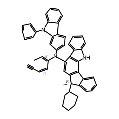 C#C/C=C\C(=C/C)N(c1ccc2c3ccccc3n(-c3ccccc3)c2c1)c1cc2c(c3[nH]c4ccccc4c13)-c1ccccc1[C@@]2(C)C1CCCCC1